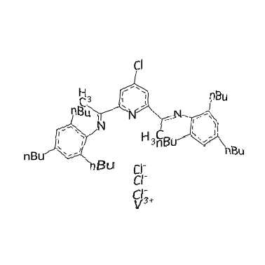 CCCCc1cc(CCCC)c(N=C(C)c2cc(Cl)cc(C(C)=Nc3c(CCCC)cc(CCCC)cc3CCCC)n2)c(CCCC)c1.[Cl-].[Cl-].[Cl-].[V+3]